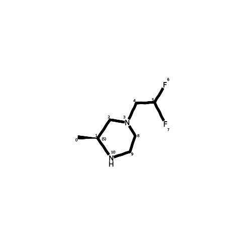 C[C@H]1CN(CC(F)F)CCN1